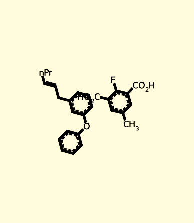 CCCC=CCc1cccc(Oc2ccccc2)c1.Cc1cc(C(=O)O)c(F)c(C(=O)O)c1